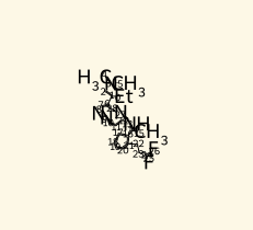 CC/C(=C\N(C)C)c1cnn2ccc(NC(C)c3ccccc3CCC(F)F)nc12